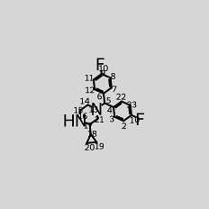 Fc1ccc(C(c2ccc(F)cc2)N2CCNC(C3CC3)C2)cc1